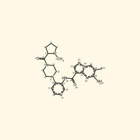 CN1CCCC1C(=O)N1CCN(c2ccncc2NC(=O)c2cnn3cc(F)c(N)nc23)CC1